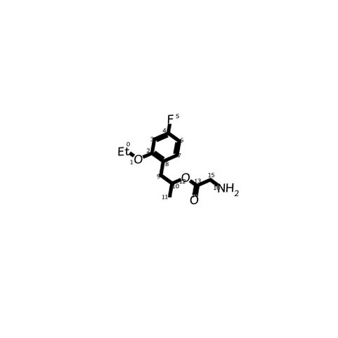 CCOc1cc(F)ccc1CC(C)OC(=O)CN